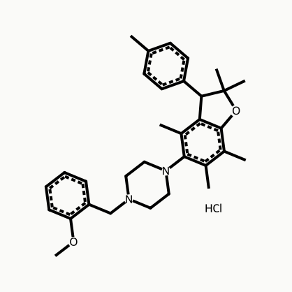 COc1ccccc1CN1CCN(c2c(C)c(C)c3c(c2C)C(c2ccc(C)cc2)C(C)(C)O3)CC1.Cl